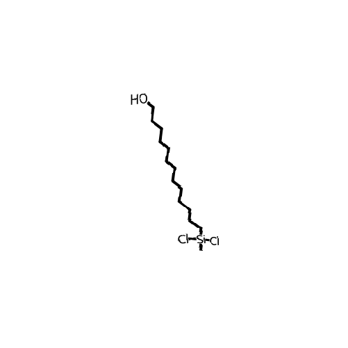 C[Si](Cl)(Cl)CCCCCCCCCCCCCO